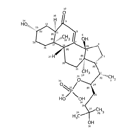 C[C@@H]([C@H]1CC[C@@]2(O)C3=CC(=O)[C@@H]4C[C@@H](O)CC[C@]4(C)[C@H]3CC[C@]12C)[C@@H](CCC(C)(C)O)OP(=O)(O)O